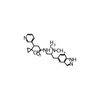 CN(C)C(CNC(=O)CC(c1cccnc1)C1(C(F)(F)F)CC1)Cc1ccc2[nH]ncc2c1